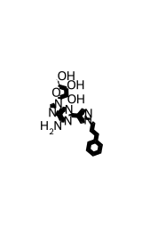 Nc1nc(-c2cnn(CCCC3CCCCC3)c2)nc2c1ncn2C1O[C@H](CO)C(O)[C@H]1O